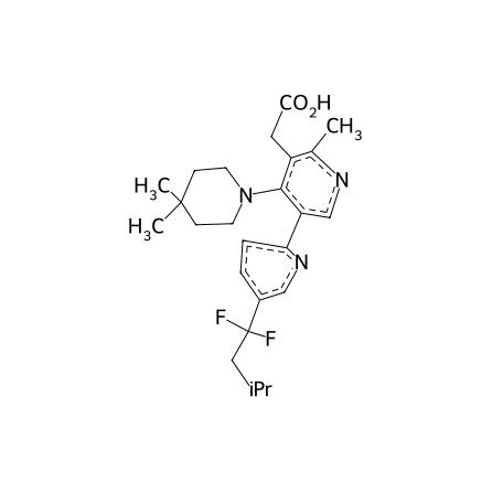 Cc1ncc(-c2ccc(C(F)(F)CC(C)C)cn2)c(N2CCC(C)(C)CC2)c1CC(=O)O